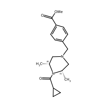 COC(=O)c1ccc(CN2C[C@@H](C)N(C(=O)C3CC3)[C@@H](C)C2)cc1